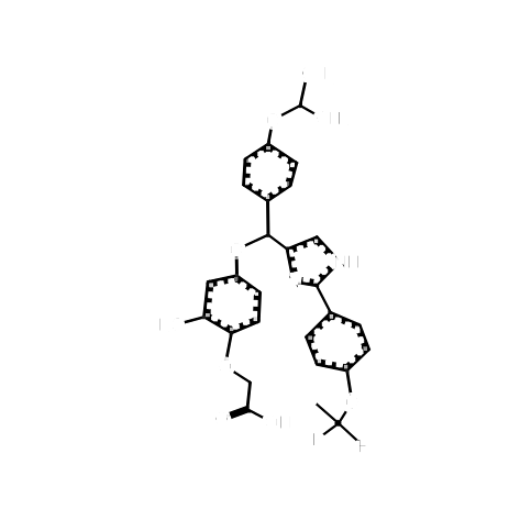 Cc1cc(OC(c2ccc(OC(C)C)cc2)c2c[nH]c(-c3ccc(OC(F)(F)F)cc3)n2)ccc1OCC(=O)O